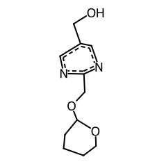 OCc1cnc(COC2CCCCO2)nc1